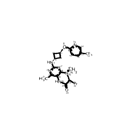 Cc1nc(N[C@H]2C[C@H](Oc3ccc(C(F)(F)F)cn3)C2)nc2c1NC(=O)C(C(C)C)N2C